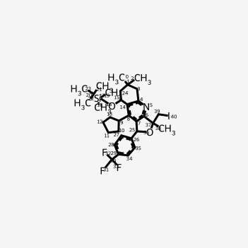 CC1(C)Cc2nc3c(c(C4CCCC4)c2C(O[Si](C)(C)C(C)(C)C)C1)C(c1ccc(C(F)(F)F)cc1)OC3(C)CI